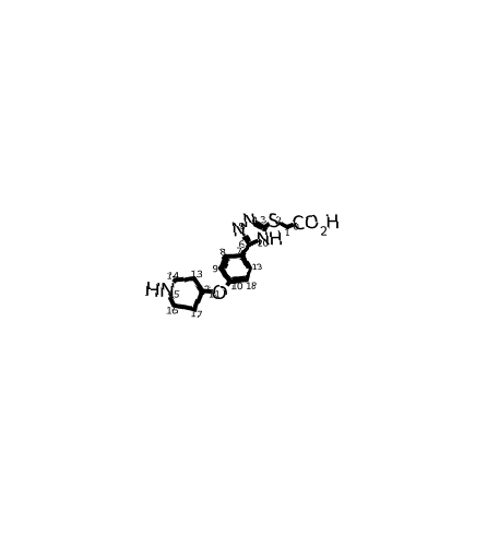 O=C(O)CSc1nnc(-c2ccc(OC3CCNCC3)cc2)[nH]1